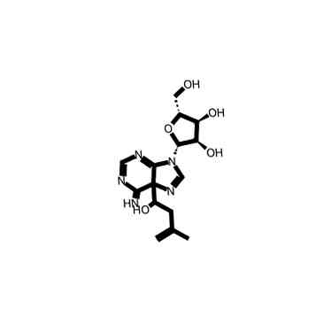 C=C(C)CC(O)C12N=CN([C@@H]3O[C@H](CO)[C@@H](O)[C@H]3O)C1=NC=NC2=N